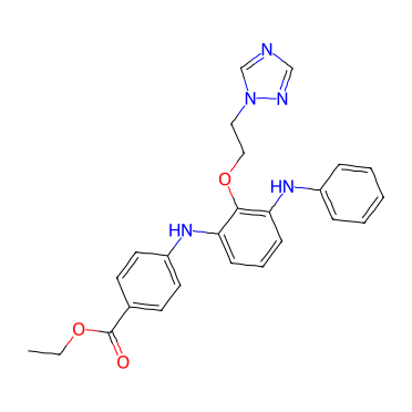 CCOC(=O)c1ccc(Nc2cccc(Nc3ccccc3)c2OCCn2cncn2)cc1